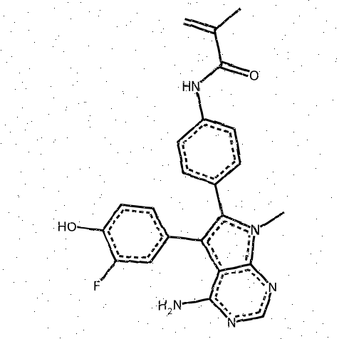 C=C(C)C(=O)Nc1ccc(-c2c(-c3ccc(O)c(F)c3)c3c(N)ncnc3n2C)cc1